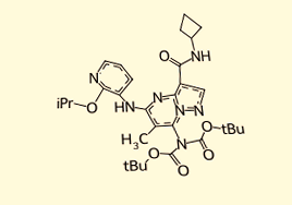 Cc1c(Nc2cccnc2OC(C)C)nc2c(C(=O)NC3CCC3)cnn2c1N(C(=O)OC(C)(C)C)C(=O)OC(C)(C)C